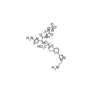 C[n+]1cc(-c2ccc3c(c2)CC[C@@H]([C@](C)(O/N=C(\C(=O)N[C@@H]2C(=O)N(OS(=O)(=O)[O-])C2(C)C)c2csc(N)n2)C(=O)O)O3)cn1CCCN